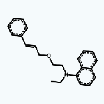 CCN(CCOCC=Cc1ccccc1)c1cccc2ccccc12